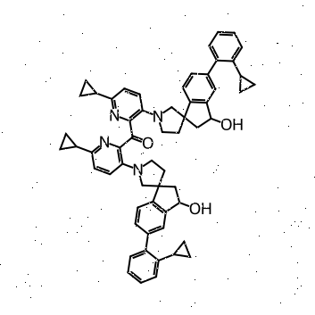 O=C(c1nc(C2CC2)ccc1N1CCC2(CC(O)c3cc(-c4ccccc4C4CC4)ccc32)C1)c1nc(C2CC2)ccc1N1CCC2(CC(O)c3cc(-c4ccccc4C4CC4)ccc32)C1